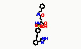 CN(CCc1ccccc1)C(=O)CC[C@@H](NS(=O)(=O)c1ccc(C#Cc2ccccc2-c2c[nH]cn2)cc1)C(=O)O